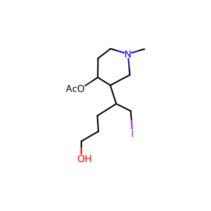 CC(=O)OC1CCN(C)CC1C(CI)CCCO